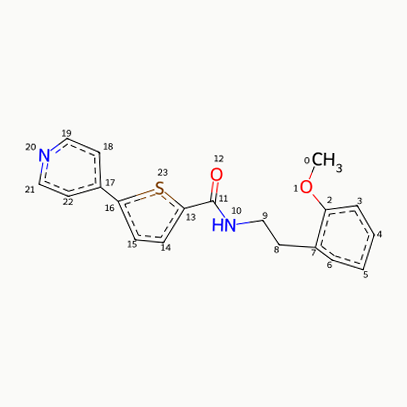 COc1ccccc1CCNC(=O)c1ccc(-c2ccncc2)s1